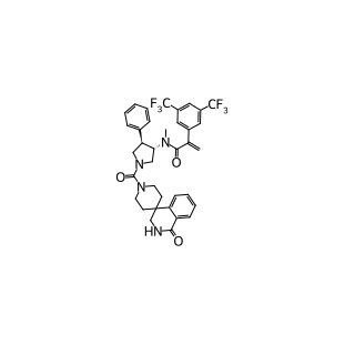 C=C(C(=O)N(C)[C@@H]1CN(C(=O)N2CCC3(CC2)CNC(=O)c2ccccc23)C[C@H]1c1ccccc1)c1cc(C(F)(F)F)cc(C(F)(F)F)c1